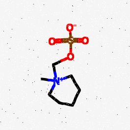 C[N+]1(COS(=O)(=O)[O-])CCCCC1